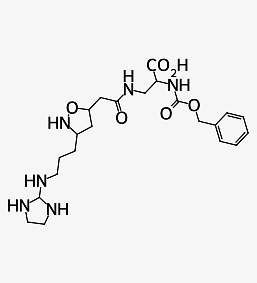 O=C(CC1CC(CCCNC2NCCN2)NO1)NCC(NC(=O)OCc1ccccc1)C(=O)O